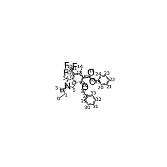 CC[C@H](C)N1Cc2c(c(C(F)(F)F)c(C)c(C(=O)Oc3ccccc3)c2OCc2ccccc2)C1